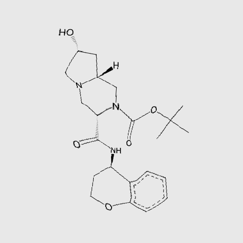 CC(C)(C)OC(=O)N1C[C@H]2C[C@@H](O)CN2C[C@H]1C(=O)N[C@@H]1CCOc2ccccc21